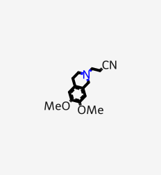 COc1cc2c(cc1OC)CN(CCC#N)CC2